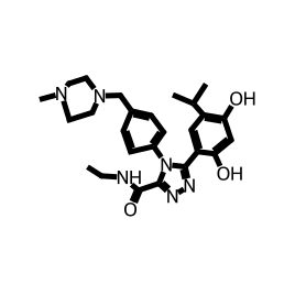 CCNC(=O)c1nnc(-c2cc(C(C)C)c(O)cc2O)n1-c1ccc(CN2CCN(C)CC2)cc1